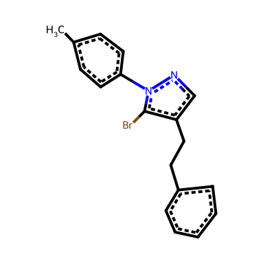 Cc1ccc(-n2ncc(CCc3ccccc3)c2Br)cc1